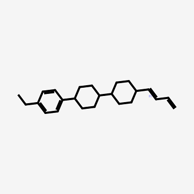 C=C/C=C/C1CCC(C2CCC(c3ccc(CC)cc3)CC2)CC1